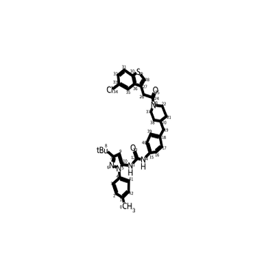 Cc1ccc(-n2nc(C(C)(C)C)cc2NC(=O)Nc2ccc(CC3CCN(C(=O)Cc4csc5ccc(Cl)cc45)CC3)cc2)cc1